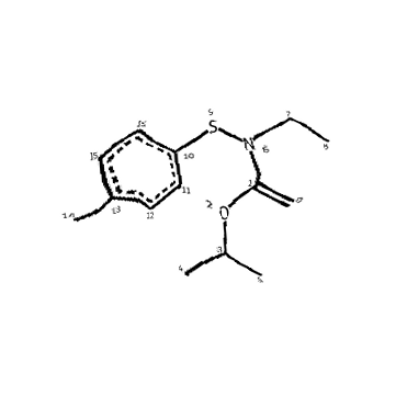 C=C(OC(C)C)N(CC)Sc1ccc(C)cc1